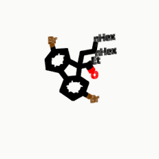 CCCCCCC(CCCCCC)CC1(C(=O)CC)c2cc(Br)ccc2-c2ccc(Br)cc21